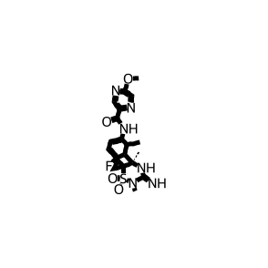 COc1cnc(C(=O)NC2=CC=C(F)C([C@@]3(C)NC(=N)N(C)S(=O)(=O)C34CC4)C2C)cn1